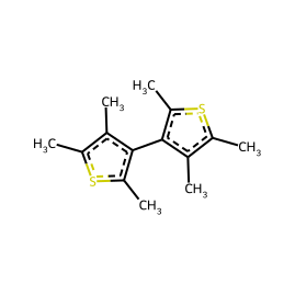 Cc1sc(C)c(-c2c(C)sc(C)c2C)c1C